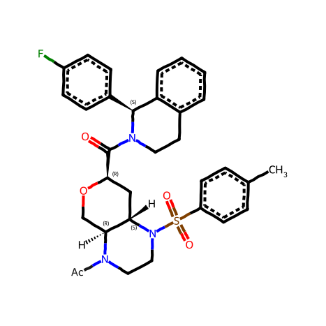 CC(=O)N1CCN(S(=O)(=O)c2ccc(C)cc2)[C@H]2C[C@H](C(=O)N3CCc4ccccc4[C@@H]3c3ccc(F)cc3)OC[C@@H]21